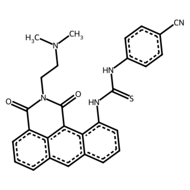 CN(C)CCN1C(=O)c2cccc3cc4cccc(NC(=S)Nc5ccc(C#N)cc5)c4c(c23)C1=O